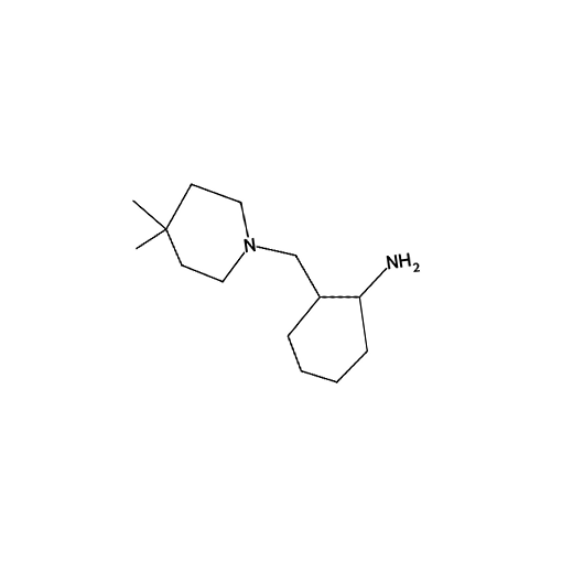 CC1(C)CCN(CC2CCCCC2N)CC1